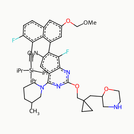 COCOc1cc(-c2c([N+](=O)[O-])cc3c(N4CCCC(C)C4)nc(OCC4(CC5CNCCO5)CC4)nc3c2F)c2c(C#C[Si](C(C)C)(C(C)C)C(C)C)c(F)ccc2c1